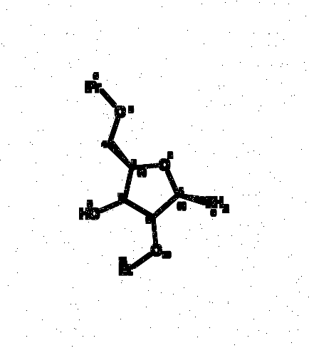 B[C@@H]1O[C@H](COC(C)C)C(O)C1OCC